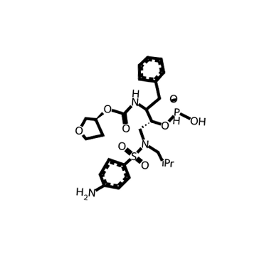 CC(C)CN(C[C@@H](O[PH](=O)O)C(Cc1ccccc1)NC(=O)O[C@H]1CCOC1)S(=O)(=O)c1ccc(N)cc1